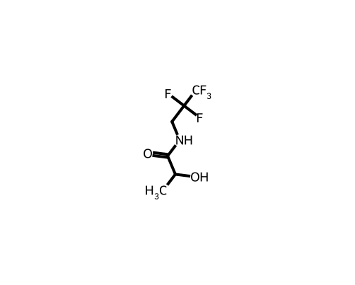 CC(O)C(=O)NCC(F)(F)C(F)(F)F